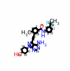 Cc1ccc(C(=O)Nc2cccc(C(C)(F)F)c2)cc1C#Cc1nn([C@H]2CC[C@H](O)CC2)c2ncnc(N)c12